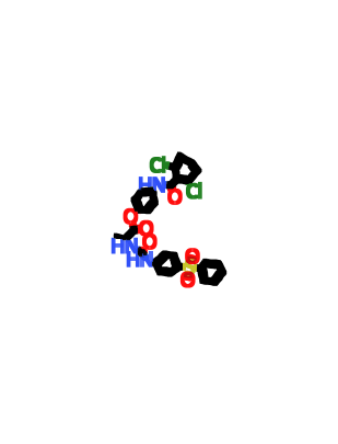 C[C@H](NC(=O)Nc1ccc(S(=O)(=O)c2ccccc2)cc1)C(=O)Oc1ccc(NC(=O)c2c(Cl)cccc2Cl)cc1